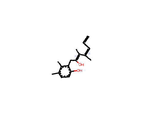 C=C/C=C(C)\C(C)=C(/O)Cc1c(O)ccc(C)c1C